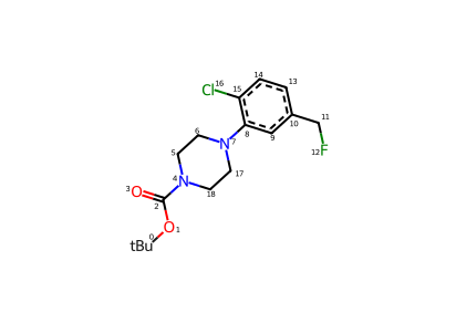 CC(C)(C)OC(=O)N1CCN(c2cc(CF)ccc2Cl)CC1